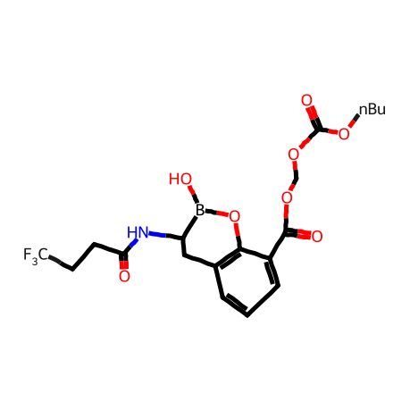 CCCCOC(=O)OCOC(=O)c1cccc2c1OB(O)C(NC(=O)CCC(F)(F)F)C2